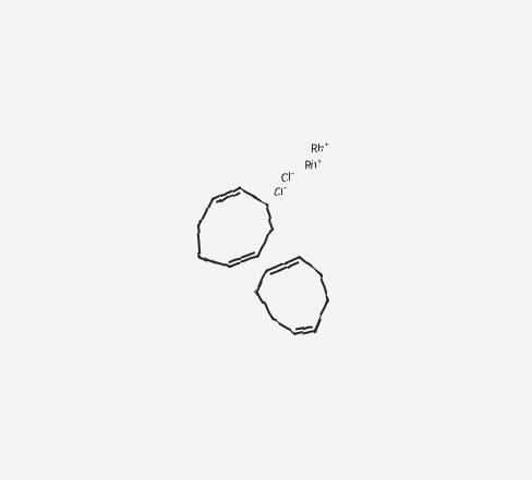 C1=CCCC=CCC1.C1=CCCC=CCC1.[Cl-].[Cl-].[Rh+].[Rh+]